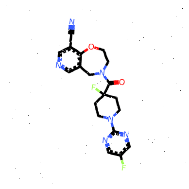 N#Cc1cncc2c1OCCN(C(=O)C1(F)CCN(c3ncc(F)cn3)CC1)C2